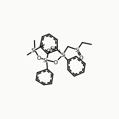 CC[Si](=O)C[Si](O[Si](O[SiH3])(O[Si](C)(C)C)c1ccccc1)(c1ccccc1)c1ccccc1